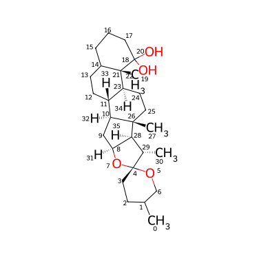 CC1CC[C@@]2(OC1)O[C@H]1C[C@H]3[C@@H]4CCC5CCCC(O)(O)[C@]5(C)[C@H]4CC[C@]3(C)[C@H]1[C@@H]2C